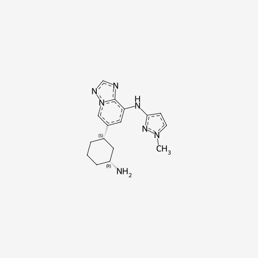 Cn1ccc(Nc2cc([C@H]3CCC[C@@H](N)C3)cn3ncnc23)n1